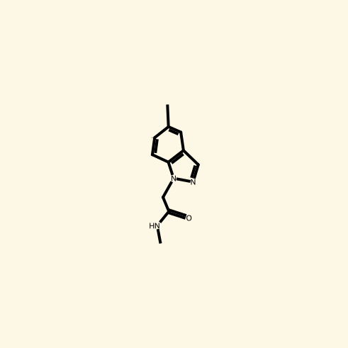 CNC(=O)Cn1ncc2cc(C)[c]cc21